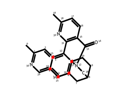 Cc1cnc(NC2CC3CCC2N(C(=O)c2ccc(C)nc2-c2ncccn2)C3)cn1